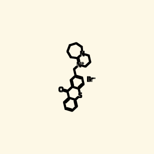 O=c1c2ccccc2sc2ccc(C[N+]3=C4CCCCCN4CCC3)cc12.[Br-]